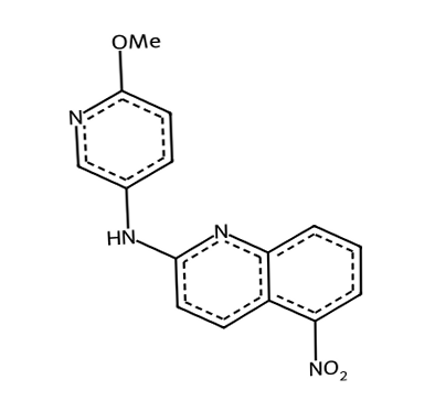 COc1ccc(Nc2ccc3c([N+](=O)[O-])cccc3n2)cn1